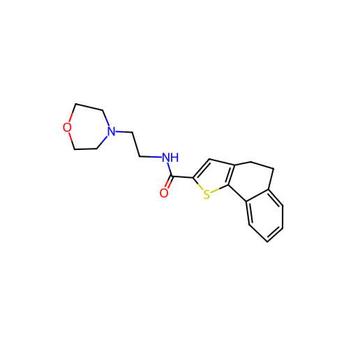 O=C(NCCN1CCOCC1)c1cc2c(s1)-c1ccccc1CC2